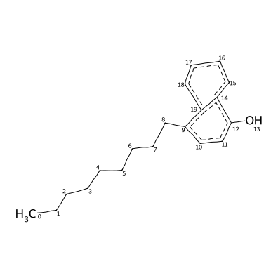 CCCCCCCCCc1ccc(O)c2ccccc12